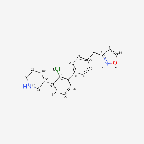 Clc1c(-c2ccc(Cc3ccon3)cc2)cccc1C1CCCNC1